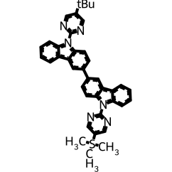 CC(C)(C)c1cnc(-n2c3ccccc3c3cc(-c4ccc5c(c4)c4ccccc4n5-c4ncc(S(C)(C)C)cn4)ccc32)nc1